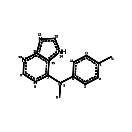 Cc1ccc(N(C)c2ncnc3nc[nH]c23)cc1